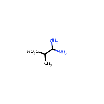 CC(C(=O)O)C(N)N